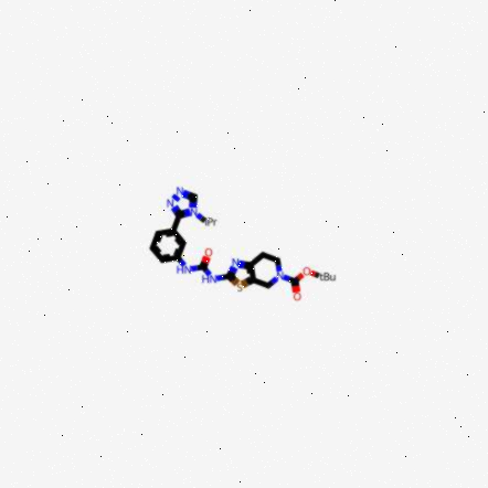 CC(C)n1cnnc1-c1cccc(NC(=O)Nc2nc3c(s2)CN(C(=O)OC(C)(C)C)CC3)c1